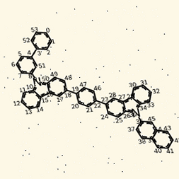 c1ccc(-c2cccc(-n3c4ccccc4c4cc(-c5ccc(-c6ccc7c(c6)c6ccccc6n7-c6ccc7ccccc7c6)cc5)ccc43)c2)cc1